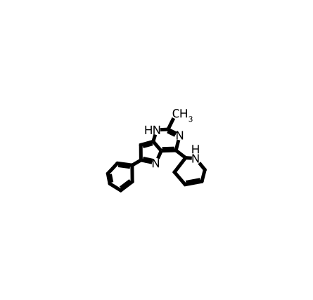 Cc1nc(C2CC=CCN2)c2nc(-c3ccccc3)cc-2[nH]1